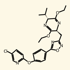 CCOC1=N[C@H](C(C)C)C(OCC)=N[C@H]1Cc1noc(-c2ccc(Oc3ccc(Cl)cn3)cc2)n1